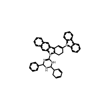 C1=CCC(C2NC(n3c4c(c5cc6ccccc6cc53)C=C(n3c5ccccc5c5ccccc53)CC4)=NC(c3ccccc3)N2)C=C1